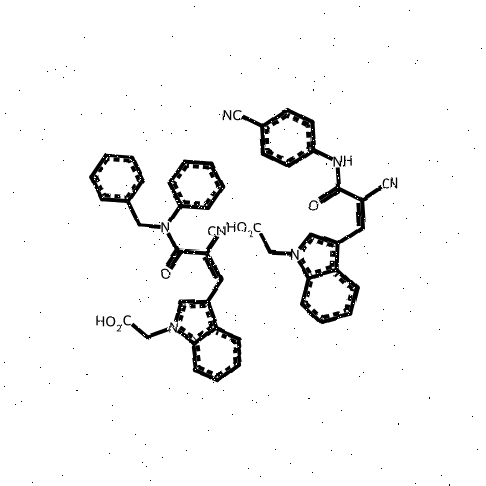 N#CC(=Cc1cn(CC(=O)O)c2ccccc12)C(=O)N(Cc1ccccc1)c1ccccc1.N#CC(=Cc1cn(CC(=O)O)c2ccccc12)C(=O)Nc1ccc(C#N)cc1